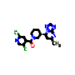 Cc1cc([C@H]2CCCN(C(=O)c3cc(Cl)ncc3Cl)C2)n2ncnc2n1